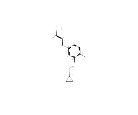 C/C(O)=C/Cc1ccc(Br)c(OCC2CC2)c1